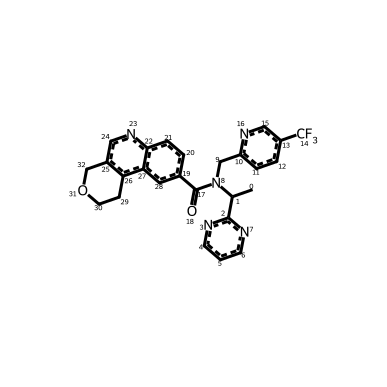 CC(c1ncccn1)N(Cc1ccc(C(F)(F)F)cn1)C(=O)c1ccc2ncc3c(c2c1)CCOC3